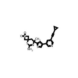 CC1(c2cc(-c3cncc(C#CC4CC4)c3)cs2)CC2(CS(=O)(=O)C2)SC(N)=N1